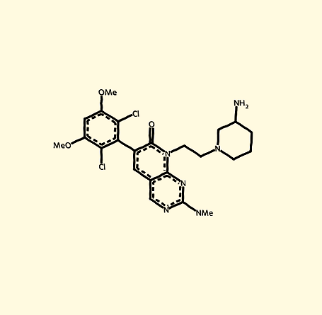 CNc1ncc2cc(-c3c(Cl)c(OC)cc(OC)c3Cl)c(=O)n(CCN3CCCC(N)C3)c2n1